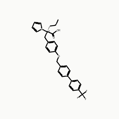 CCC[C@@](Cc1ccc(OCc2ccc(-c3ccc(C(F)(F)F)cc3)cc2)cc1)(C(=O)O)n1cccc1